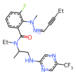 CCC#C/C=N\N(C)c1c(F)cccc1C(=O)N(CC)C(C)CNc1cnc(C(F)(F)F)cn1